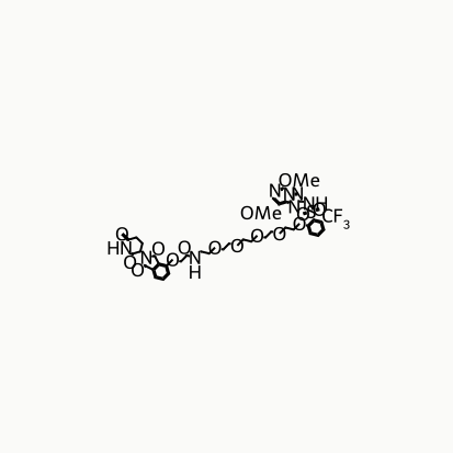 COc1cnc(OC)n2nc(NS(=O)(=O)c3c(OCCOCCOCCOCCOCCNC(=O)COc4cccc5c4C(=O)N(C4CCC(=O)NC4=O)C5=O)cccc3C(F)(F)F)nc12